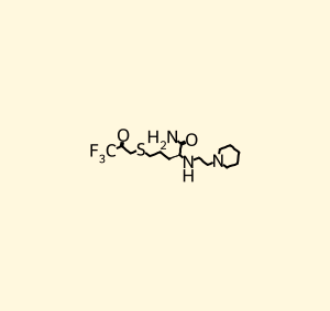 NC(=O)[C@H](CCCSCC(=O)C(F)(F)F)NCCN1CCCCC1